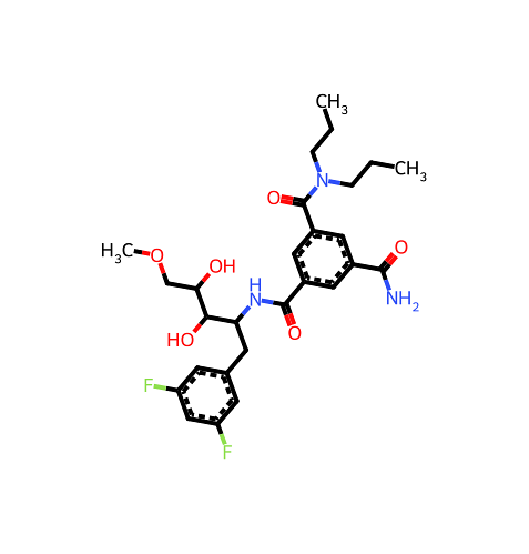 CCCN(CCC)C(=O)c1cc(C(N)=O)cc(C(=O)NC(Cc2cc(F)cc(F)c2)C(O)C(O)COC)c1